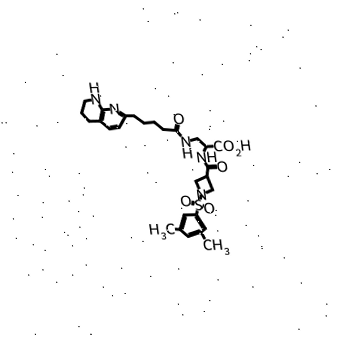 Cc1cc(C)cc(S(=O)(=O)N2CC(C(=O)NC(CNC(=O)CCCCc3ccc4c(n3)NCCC4)C(=O)O)C2)c1